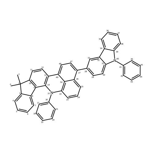 CC1(C)c2ccccc2-c2c1ccc1c2N(c2ccccc2)c2cccc3c(-c4ccc5c(c4)c4ccccc4n5-c4ccccc4)ccc-1c23